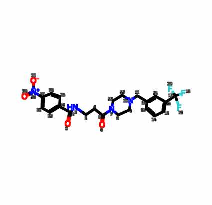 O=C(NCCC(=O)N1CCN(Cc2cccc(C(F)(F)F)c2)CC1)c1ccc([N+](=O)[O-])cc1